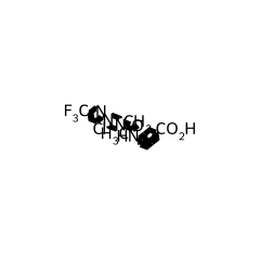 CC(C)(C(=O)NC1C2CC3CC1CC(C(=O)O)(C3)C2)N1CCN(c2ncc(C(F)(F)F)cc2Cl)CC1